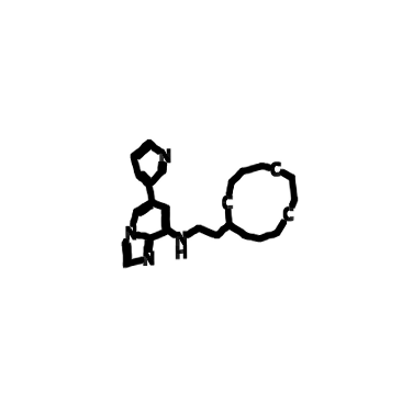 c1cncc(-c2cc(NCCC3CCCCCCCCCCC3)c3nccn3c2)c1